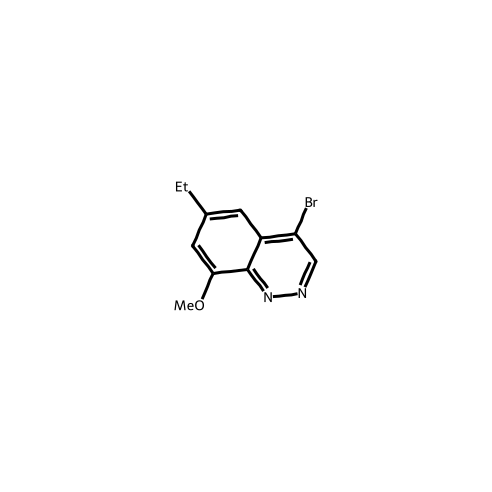 CCc1cc(OC)c2nncc(Br)c2c1